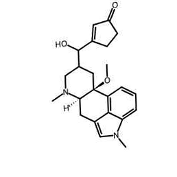 CO[C@]12CC(C(O)C3=CC(=O)CC3)CN(C)[C@@H]1Cc1cn(C)c3cccc2c13